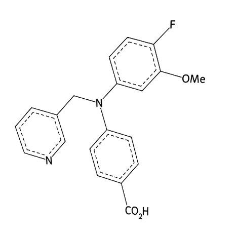 COc1cc(N(Cc2cccnc2)c2ccc(C(=O)O)cc2)ccc1F